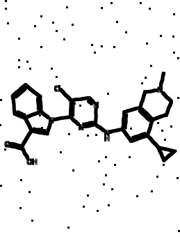 CN1CCc2c(cc(Nc3ncc(Cl)c(-n4cc(C(=O)O)c5ccccc54)n3)cc2C2CC2)C1